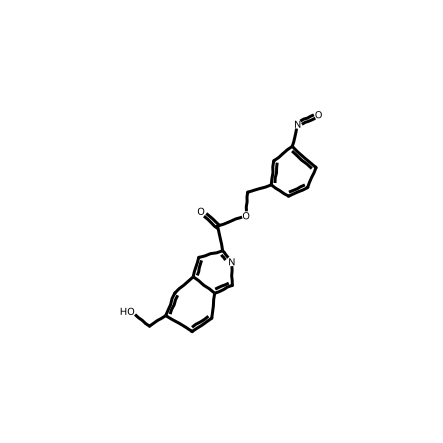 O=Nc1cccc(COC(=O)c2cc3cc(CO)ccc3cn2)c1